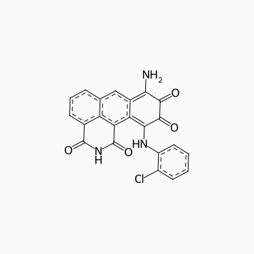 NC1=c2cc3cccc4c3c(c2=C(Nc2ccccc2Cl)C(=O)C1=O)C(=O)NC4=O